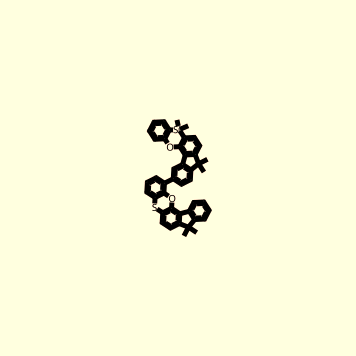 CC1(C)c2ccccc2-c2c1ccc1c2Oc2c(cccc2-c2ccc3c(c2)-c2c(ccc4c2Oc2ccccc2[Si]4(C)C)C3(C)C)S1